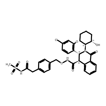 CS(=O)(=O)NC(=O)Cc1ccc(CONC(=O)[C@@H]2c3ccccc3C(=O)N([C@H]3CCCC[C@@H]3O)[C@H]2c2ccc(Cl)cc2Cl)cc1